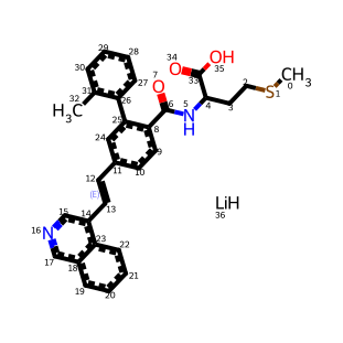 CSCCC(NC(=O)c1ccc(/C=C/c2cncc3ccccc23)cc1-c1ccccc1C)C(=O)O.[LiH]